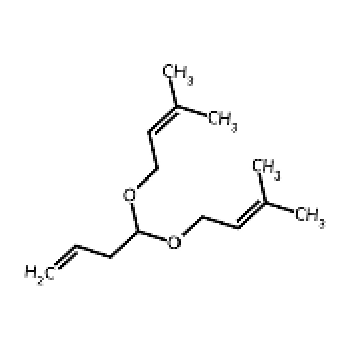 C=CCC(OCC=C(C)C)OCC=C(C)C